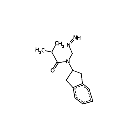 CC(C)C(=O)N(CN=N)C1Cc2ccccc2C1